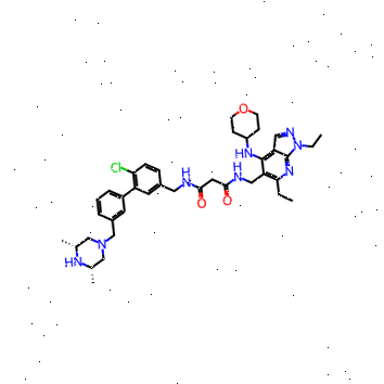 CCc1nc2c(cnn2CC)c(NC2CCOCC2)c1CNC(=O)CC(=O)NCc1ccc(Cl)c(-c2cccc(CN3C[C@@H](C)N[C@@H](C)C3)c2)c1